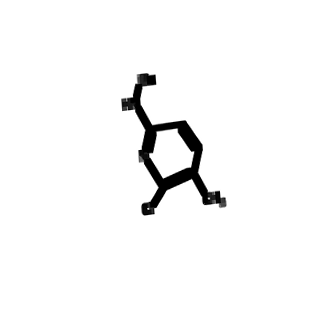 CCC(C)Nc1ccc(C)c(Cl)n1